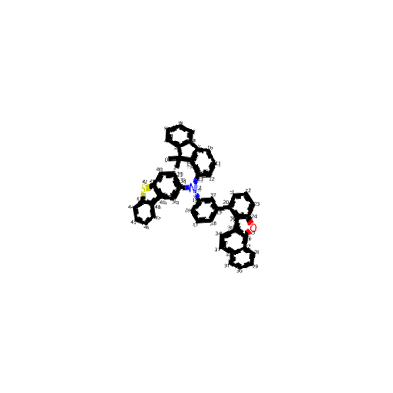 CC1(C)c2ccccc2-c2cccc(N(c3cccc(-c4cccc5oc6c7ccccc7ccc6c45)c3)c3ccc4sc5ccccc5c4c3)c21